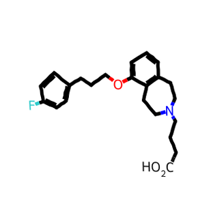 O=C(O)CCCN1CCc2cccc(OCCCc3ccc(F)cc3)c2CC1